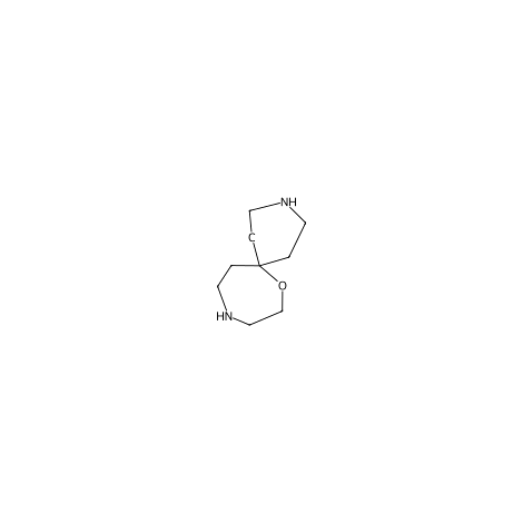 C1COC2(CCN1)CCNCC2